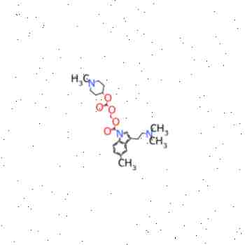 Cc1ccc2c(c1)c(CCN(C)C)cn2C(=O)OCOC(=O)OC1CCN(C)CC1